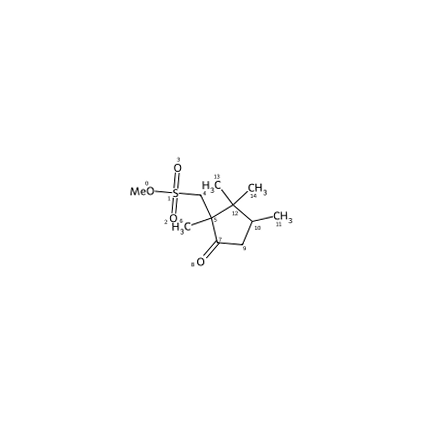 COS(=O)(=O)CC1(C)C(=O)CC(C)C1(C)C